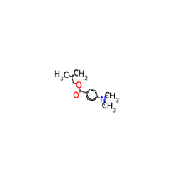 C=C(C)COC(=O)c1ccc(N(C)C)cc1